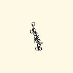 CS(=O)(=O)c1ccc(N2CCc3c(OC4CCN(C(=O)OCCCCl)CC4)ncnc32)c(F)c1